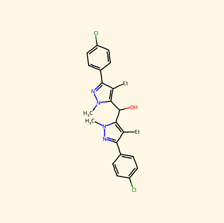 CCc1c(-c2ccc(Cl)cc2)nn(C)c1C(O)c1c(CC)c(-c2ccc(Cl)cc2)nn1C